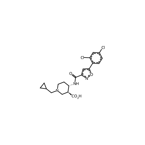 O=C(N[C@H]1CCN(CC2CC2)C[C@@H]1C(=O)O)c1cc(-c2ccc(Cl)cc2Cl)on1